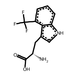 N[C@@H](Cc1c[nH]c2cccc(C(F)(F)F)c12)C(=O)O